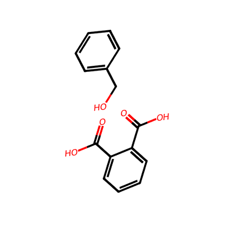 O=C(O)c1ccccc1C(=O)O.OCc1ccccc1